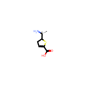 C[C@@H](N)C1CC=C(C(=O)O)S1